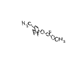 CCCc1ccc(-c2ccc(-c3ccc(C4=CCC(C)CC4)c(F)c3)cc2)c(F)c1F